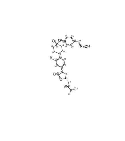 CC(=O)NC[C@H]1CN(c2ccc(C3CCP(=O)(Oc4ccc(C=NO)cc4)CC3)c(F)c2)C(=O)O1